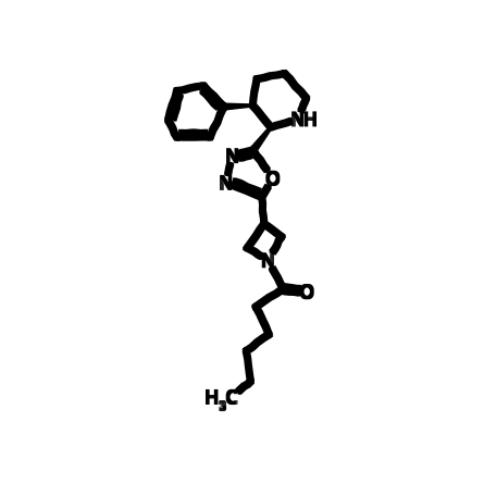 CCCCCC(=O)N1CC(c2nnc([C@@H]3NCCC[C@@H]3c3ccccc3)o2)C1